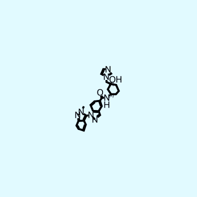 Cn1nc2ccccc2c1-n1ncc2cc(C(=O)N[C@@H]3CCC[C@](O)(Cn4ccnc4)C3)ccc21